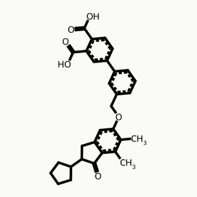 Cc1c(OCc2cccc(-c3ccc(C(=O)O)c(C(=O)O)c3)c2)cc2c(c1C)C(=O)C(C1CCCC1)C2